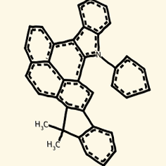 CC1(C)c2ccccc2-c2cc3c4c(ccc5cccc(c54)c4c5ccccc5n(-c5ccccc5)c34)c21